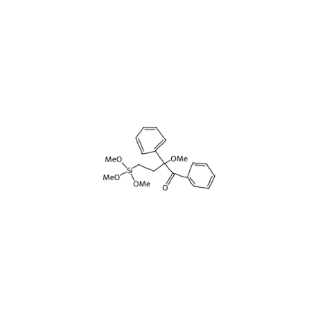 COC(CC[Si](OC)(OC)OC)(C(=O)c1ccccc1)c1ccccc1